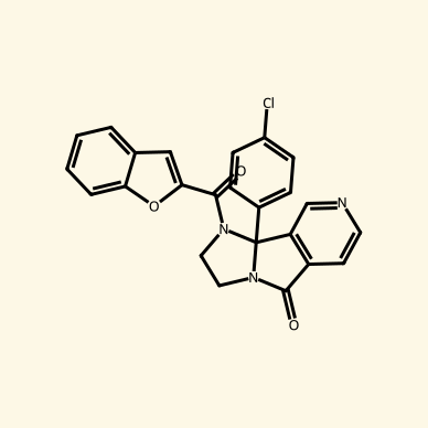 O=C(c1cc2ccccc2o1)N1CCN2C(=O)c3ccncc3C12c1ccc(Cl)cc1